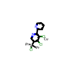 CC(C)[Si](Cl)(c1cnc(-c2ccccn2)c(Cl)c1Cl)C(C)C.[Cu]